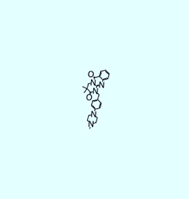 CN1CCN(c2ccc(CN3C(=O)C(C)(C)Cn4c3nc3ccccc3c4=O)cc2)CC1